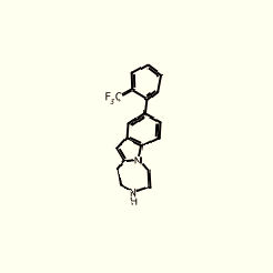 FC(F)(F)c1ccccc1-c1ccc2c(c1)cc1n2CCNCC1